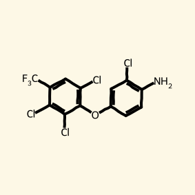 Nc1ccc(Oc2c(Cl)cc(C(F)(F)F)c(Cl)c2Cl)cc1Cl